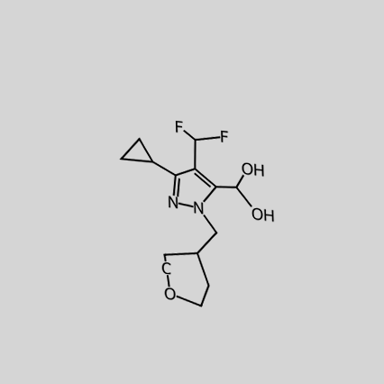 OC(O)c1c(C(F)F)c(C2CC2)nn1CC1CCOCC1